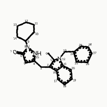 Cc1c(Cc2cc(=O)n(C3CCCCC3)[nH]2)c2ccccc2n1Cc1ccccc1